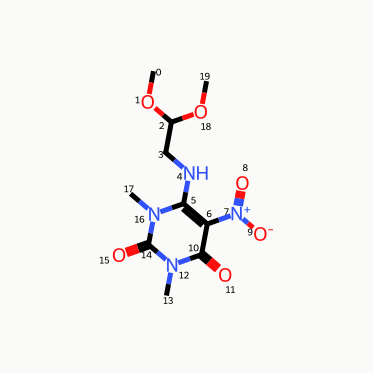 COC(CNc1c([N+](=O)[O-])c(=O)n(C)c(=O)n1C)OC